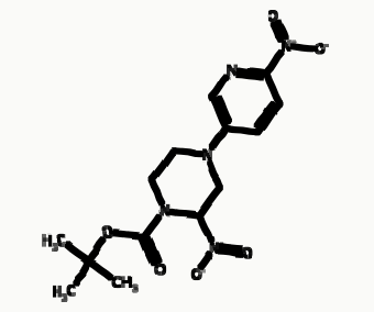 CC(C)(C)OC(=O)N1CCN(c2ccc([N+](=O)[O-])nc2)CC1[N+](=O)[O-]